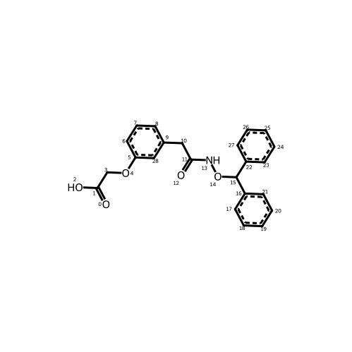 O=C(O)COc1cccc(CC(=O)NOC(c2ccccc2)c2ccccc2)c1